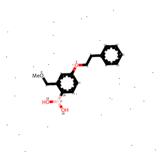 COCc1cc(OCCc2ccccc2)ccc1B(O)O